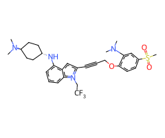 CN(C)c1cc(S(C)(=O)=O)ccc1OCC#Cc1cc2c(N[C@H]3CC[C@H](N(C)C)CC3)cccc2n1CC(F)(F)F